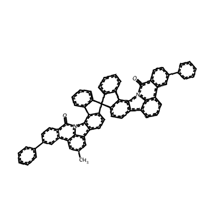 Cc1cc2c3cc(-c4ccccc4)ccc3c(=O)n3c4c5c(ccc4c(c1)c23)C1(c2ccccc2-c2c1ccc1c3cccc4c6cc(-c7ccccc7)ccc6c(=O)n(c21)c43)c1ccccc1-5